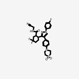 N#CCNC(=O)C1CC(F)(F)CCC1c1nn(-c2ccc(F)cc2)cc1-c1ccc(N2CCS(=O)(=O)CC2)cc1